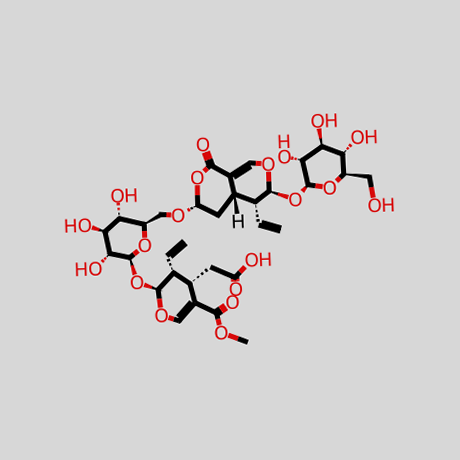 C=C[C@H]1[C@H](O[C@@H]2O[C@H](CO[C@H]3C[C@@H]4C(=CO[C@@H](O[C@@H]5O[C@H](CO)[C@@H](O)[C@H](O)[C@H]5O)[C@@H]4C=C)C(=O)O3)[C@@H](O)[C@H](O)[C@H]2O)OC=C(C(=O)OC)[C@H]1CC(=O)O